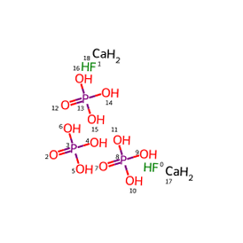 F.F.O=P(O)(O)O.O=P(O)(O)O.O=P(O)(O)O.[CaH2].[CaH2]